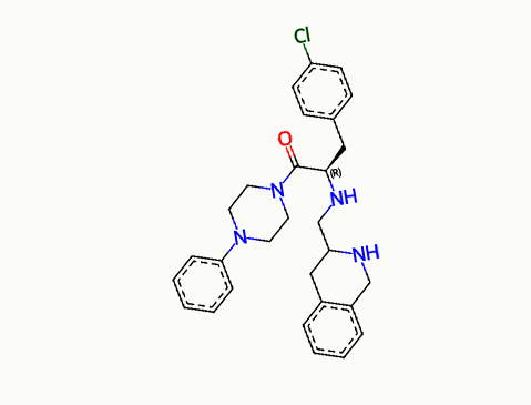 O=C([C@@H](Cc1ccc(Cl)cc1)NCC1Cc2ccccc2CN1)N1CCN(c2ccccc2)CC1